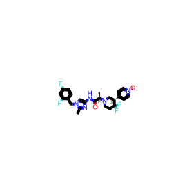 Cc1nc(NC(=O)[C@@H](C)N2CCC(F)(F)[C@@H](c3cc[n+]([O-])cc3)C2)cn1Cc1ccc(F)cc1F